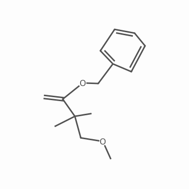 C=C(OCc1ccccc1)C(C)(C)COC